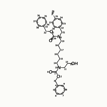 O=C(OCc1ccccc1)N(CCO)CCCCCCN(Cc1ccc(F)cc1)C(=O)OCc1ccccc1